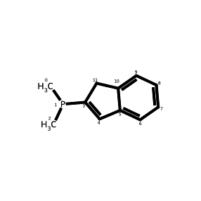 CP(C)C1=Cc2ccccc2C1